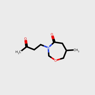 CC(=O)CCN1COCC(C)CC1=O